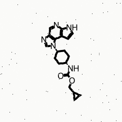 O=C(N[C@H]1CC[C@H](n2cnc3cnc4[nH]ccc4c32)CC1)OCC1CC1